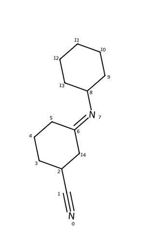 N#CC1CCC/C(=N\C2CCCCC2)C1